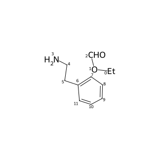 CCOC=O.NCCc1ccccc1